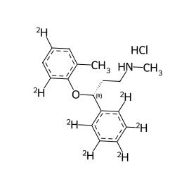 Cl.[2H]c1cc([2H])c(O[C@H](CCNC)c2c([2H])c([2H])c([2H])c([2H])c2[2H])c(C)c1